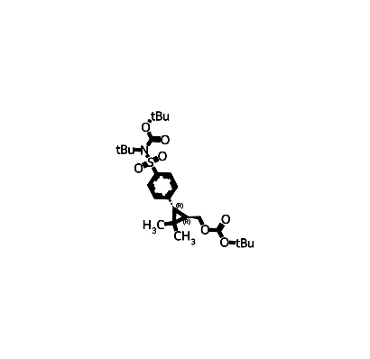 CC(C)(C)OC(=O)OC[C@@H]1[C@@H](c2ccc(S(=O)(=O)N(C(=O)OC(C)(C)C)C(C)(C)C)cc2)C1(C)C